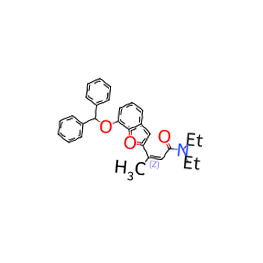 CCN(CC)C(=O)/C=C(/C)c1cc2cccc(OC(c3ccccc3)c3ccccc3)c2o1